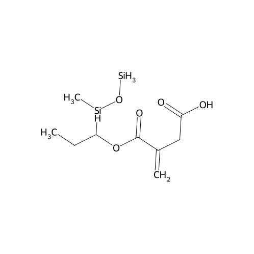 C=C(CC(=O)O)C(=O)OC(CC)[SiH](C)O[SiH3]